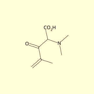 C=C(C)C(=O)C(C(=O)O)N(C)C